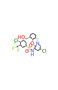 O=S(=O)(Nc1cc(Cl)cnc1Oc1c(F)cccc1CO)c1ccc(Cl)c(C(F)(F)F)c1